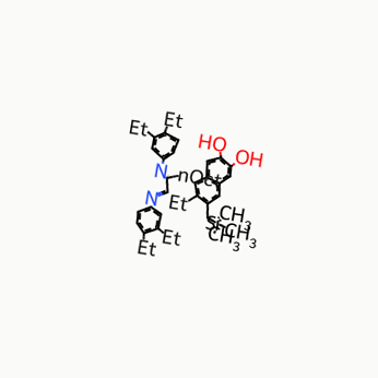 CCCCCCCCC(C=Nc1ccc(CC)c(CC)c1)=Nc1ccc(CC)c(CC)c1.CCc1cc2cc(O)c(O)cc2cc1C[Si](C)(C)C